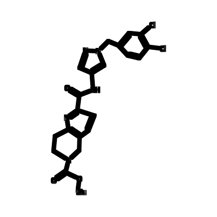 CC(C)(C)OC(=O)N1CCc2nc(C(=O)Nc3cnn(Cc4ccc(Cl)c(Cl)c4)c3)ccc2C1